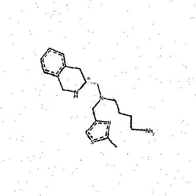 Cc1nc(CN(CCCCN)C[C@H]2Cc3ccccc3CN2)cs1